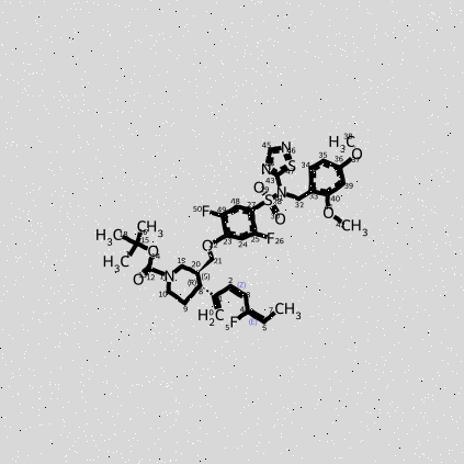 C=C(/C=C\C(F)=C/C)[C@@H]1CCN(C(=O)OC(C)(C)C)C[C@H]1COc1cc(F)c(S(=O)(=O)N(Cc2ccc(OC)cc2OC)c2ncns2)cc1F